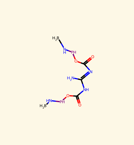 BNPOC(=O)/N=C(\N)NC(=O)OPNB